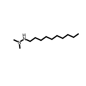 CCCCCCCCCCNN(C)C